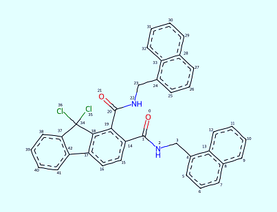 O=C(NCc1cccc2ccccc12)c1ccc2c(c1C(=O)NCc1cccc3ccccc13)C(Cl)(Cl)c1ccccc1-2